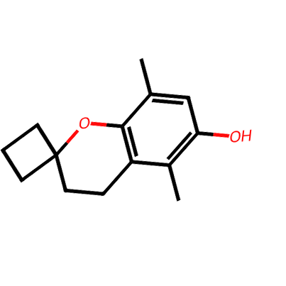 Cc1cc(O)c(C)c2c1OC1(CCC1)CC2